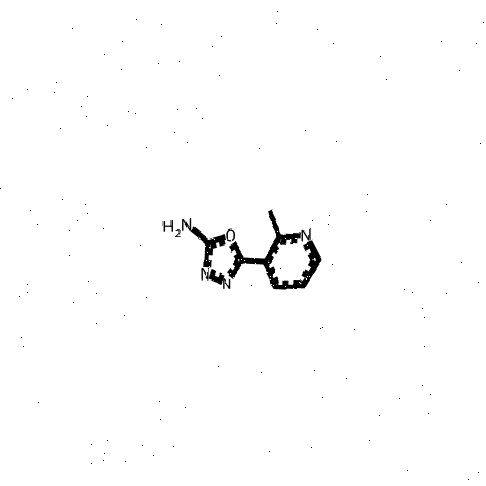 Cc1ncccc1-c1nnc(N)o1